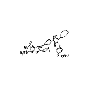 CC(C)(C)Oc1ccc(C[C@H](NC(=O)c2ccc(N(CC3=NC4C(=O)NC(N)=NC4N=C3)C(=O)C(F)(F)F)cc2)C(=O)C2CCCCCC2)cc1